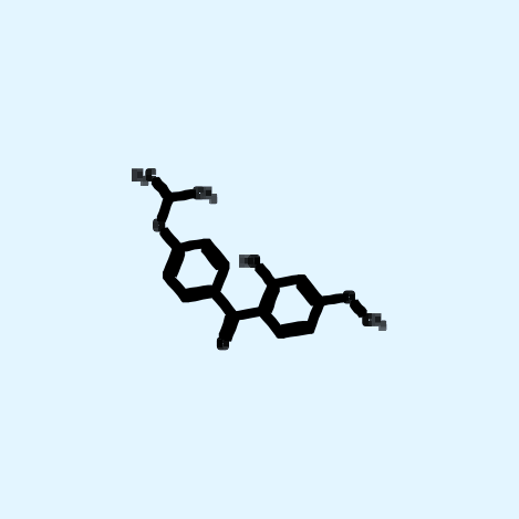 COc1ccc(C(=O)c2ccc(OC(C)C)cc2)c(O)c1